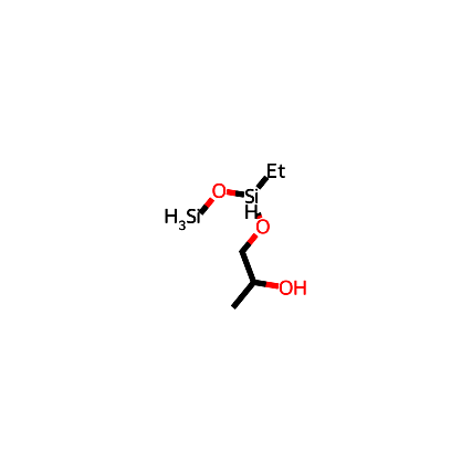 CC[SiH](O[SiH3])OCC(C)O